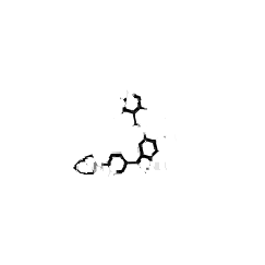 COc1cc2[nH]nc(-c3ccc(N4CC5CC(C4)N5)nc3)c2cc1OC(C)c1c(C)cnnc1C